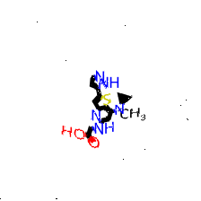 CN(c1cc(NCC(=O)O)nc2cc(-c3ccn[nH]3)sc12)C1CC1